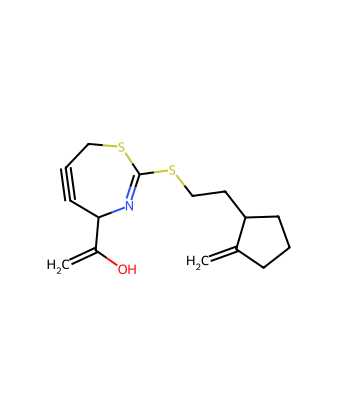 C=C1CCCC1CCSC1=NC(C(=C)O)C#CCS1